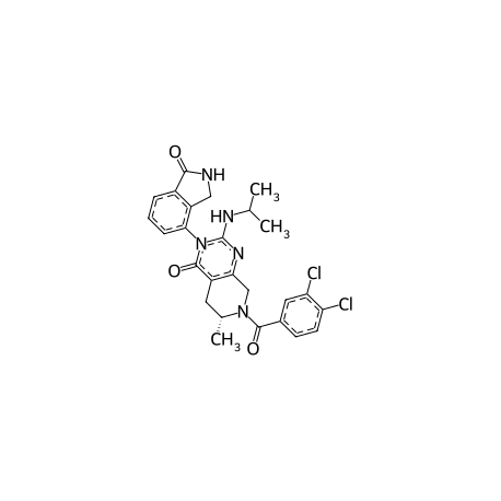 CC(C)Nc1nc2c(c(=O)n1-c1cccc3c1CNC3=O)C[C@@H](C)N(C(=O)c1ccc(Cl)c(Cl)c1)C2